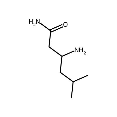 CC(C)CC(N)CC(N)=O